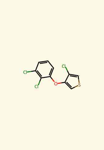 Clc1[c]scc1Oc1cccc(Cl)c1Cl